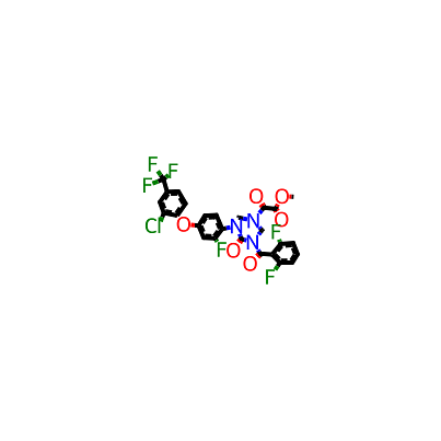 COC(=O)C(=O)N1CN(C(=O)c2c(F)cccc2F)C(=O)N(c2ccc(Oc3ccc(C(F)(F)F)cc3Cl)cc2F)C1